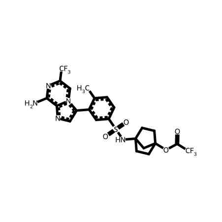 Cc1ccc(S(=O)(=O)NC23CCC(OC(=O)C(F)(F)F)(CC2)C3)cc1-c1cnc2c(N)nc(C(F)(F)F)cn12